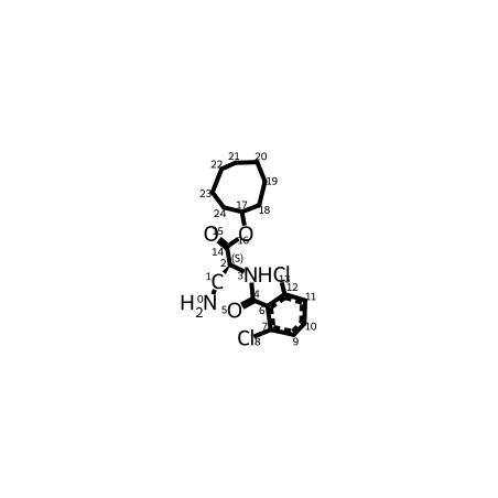 NC[C@H](NC(=O)c1c(Cl)cccc1Cl)C(=O)OC1CCCCCCC1